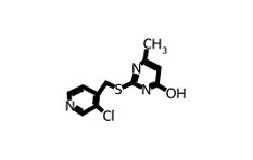 Cc1cc(O)nc(SCc2ccncc2Cl)n1